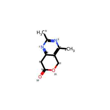 Cc1nc(C)c2c(n1)CC(=O)OC2